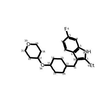 CCc1[nH]c2cc(F)ccc2c1CC1CCC(OC2CCOCC2)CC1